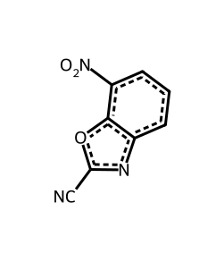 N#Cc1nc2cccc([N+](=O)[O-])c2o1